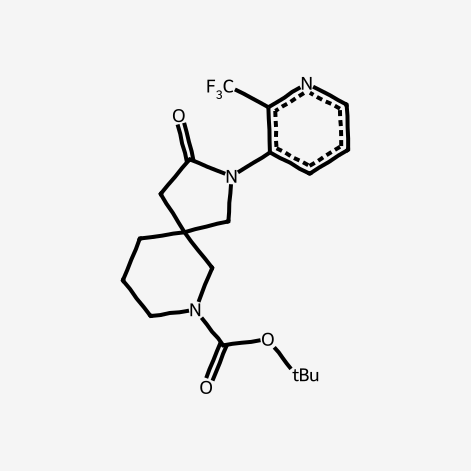 CC(C)(C)OC(=O)N1CCCC2(CC(=O)N(c3cccnc3C(F)(F)F)C2)C1